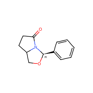 O=C1CCC2CO[C@H](c3ccccc3)N12